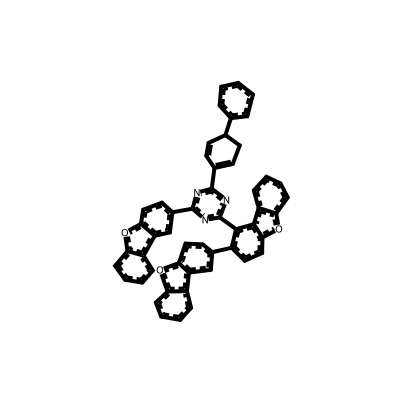 C1=CC(c2ccccc2)CC=C1c1nc(-c2ccc3oc4ccccc4c3c2)nc(-c2c(-c3ccc4oc5ccccc5c4c3)ccc3oc4ccccc4c23)n1